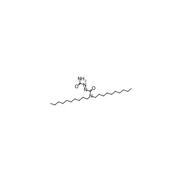 CCCCCCCCCCN(CCCCCCCCCC)C(=O)N=NC(N)=O